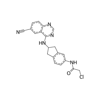 N#Cc1ccc2ncnc(NC3Cc4ccc(NC(=O)CCl)cc4C3)c2c1